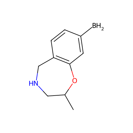 Bc1ccc2c(c1)OC(C)CNC2